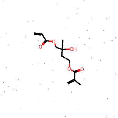 C=CC(=O)OCC(C)(O)CCOC(=O)C(=C)C